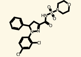 O=C(NS(=O)(=O)N1CCOCC1)C1=NN(c2ccc(Cl)cc2Cl)C(c2ccccc2)C1